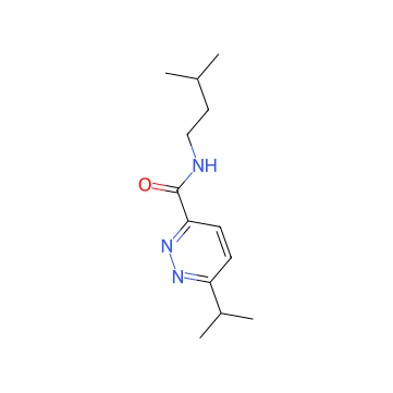 CC(C)CCNC(=O)c1ccc(C(C)C)nn1